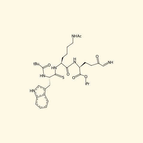 CC(=O)NCCCC[C@H](NC(=S)[C@H](Cc1c[nH]c2ccccc12)NC(=O)C(C)(C)C)C(=O)N[C@@H](CCC(=O)C=N)C(=O)OC(C)C